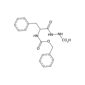 O=C(O)NNC(=O)C(Cc1ccccc1)NC(=O)OCc1ccccc1